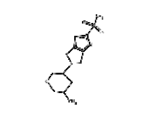 CC1COCC(N2Cc3cn(S(C)(=O)=O)nc3C2)C1